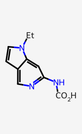 CCn1ccc2cnc(NC(=O)O)cc21